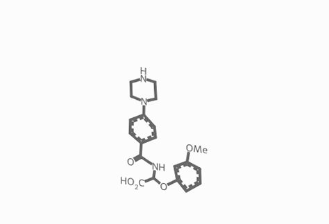 COc1cccc(OC(NC(=O)c2ccc(N3CCNCC3)cc2)C(=O)O)c1